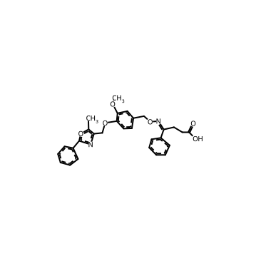 COc1cc(CO/N=C(/CCC(=O)O)c2ccccc2)ccc1OCc1nc(-c2ccccc2)oc1C